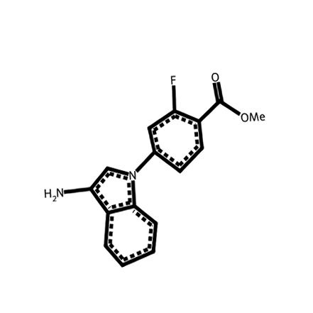 COC(=O)c1ccc(-n2cc(N)c3ccccc32)cc1F